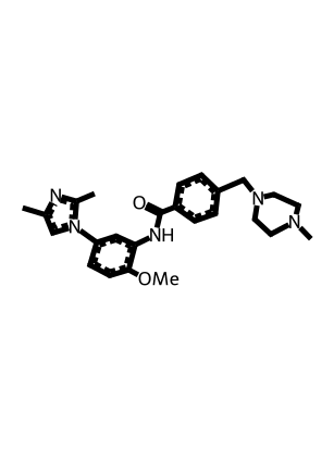 COc1ccc(-n2cc(C)nc2C)cc1NC(=O)c1ccc(CN2CCN(C)CC2)cc1